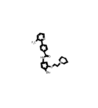 CC(C)(C)c1ccc(NC(=O)c2ccc(-c3ncccc3C(F)(F)F)cc2)cc1OCCN1CCCCC1